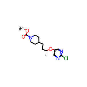 CC(C)OC(=O)N1CCC(CC[C@@H](C)Oc2cnc(Cl)nc2)CC1